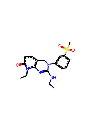 CCNC1=Nc2c(ccc(=O)n2CC)CN1c1cccc(S(C)(=O)=O)c1